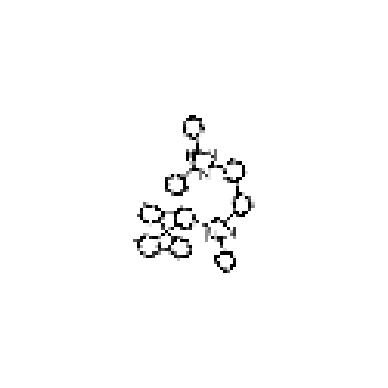 c1ccc(-c2nc(-c3cccc(-c4cccc(-c5nc(-c6ccccc6)nc(-c6ccccc6)n5)c4)c3)cc(-c3ccc4c(c3)C3(c5ccccc5-c5ccccc53)c3ccccc3-4)n2)cc1